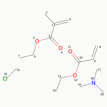 C=C(C)C(=O)OCC.C=CC(=O)OCC.CCl.CN(C)C